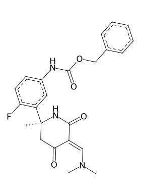 CN(C)/C=C1\C(=O)C[C@@](C)(c2cc(NC(=O)OCc3ccccc3)ccc2F)NC1=O